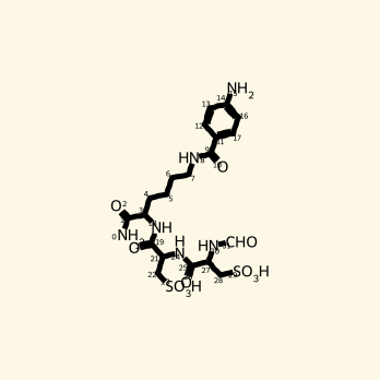 NC(=O)C(CCCCNC(=O)c1ccc(N)cc1)NC(=O)C(CS(=O)(=O)O)NC(=O)C(CS(=O)(=O)O)NC=O